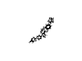 Cc1cnc(N2CCC(n3ncc4c(Oc5ccc(-n6cnnn6)cc5F)ncnc43)CC2)nc1